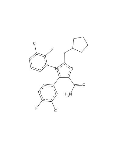 NC(=O)c1nc(CC2CCCC2)n(-c2cccc(Cl)c2F)c1-c1ccc(F)c(Cl)c1